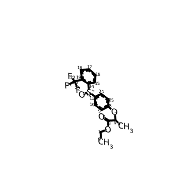 CCOC(=O)C(C)Oc1ccc([S+]([O-])c2ccccc2C(F)(F)F)cc1